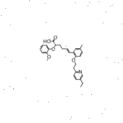 CCc1ccc(CCOc2ccc(C)cc2C=CCCC(Oc2ccccc2OC)C(=O)O)nc1